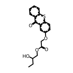 CCC(O)COC(=O)COc1ccc2sc3ccccc3c(=O)c2c1